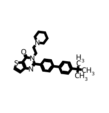 CC(C)(C)c1ccc(-c2ccc(-c3nc4ccsc4c(=O)n3CCN3CCCCC3)cc2)cc1